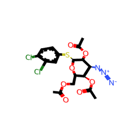 CC(=O)OCC1O[C@H](Sc2ccc(Cl)c(Cl)c2)C(OC(C)=O)[C@@H](N=[N+]=[N-])[C@H]1OC(C)=O